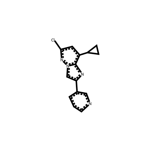 Clc1cc(C2CC2)c2nc(-c3cccnc3)cn2n1